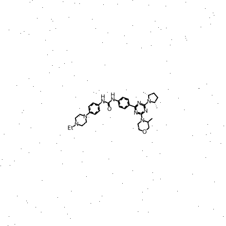 CCN1CCN(c2ccc(NC(=O)Nc3ccc(-c4nc(N5CCOCC5C)nc(N5[C@H](C)CC[C@@H]5C)n4)cc3)cc2)CC1